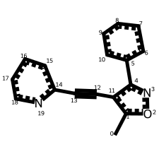 Cc1onc(-c2ccccc2)c1C#Cc1ccccn1